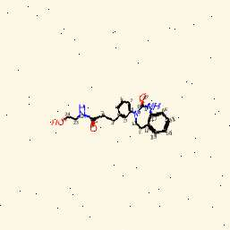 O=C(CCc1cccc(N2CCc3ccccc3NC2=O)c1)NCCO